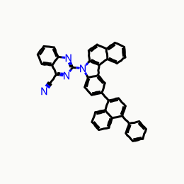 N#Cc1nc(-n2c3ccc(-c4ccc(-c5ccccc5)c5ccccc45)cc3c3c4ccccc4ccc32)nc2ccccc12